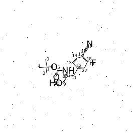 CC(C)(C)OC(=O)N[C@H](CO)Cc1ccc(C#N)c(F)c1